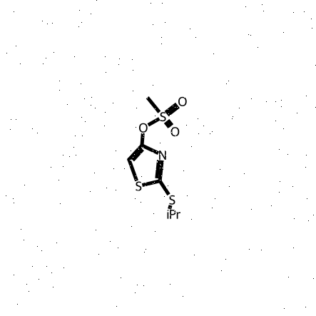 CC(C)Sc1nc(OS(C)(=O)=O)cs1